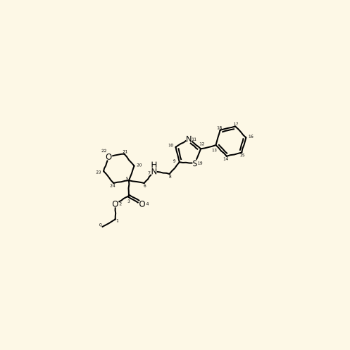 CCOC(=O)C1(CNCc2cnc(-c3ccccc3)s2)CCOCC1